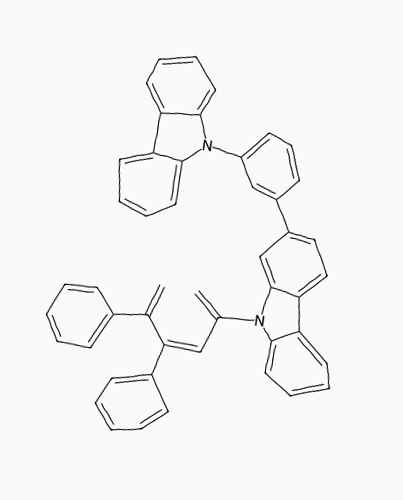 C=C(/C(=C\C(=C)n1c2ccccc2c2ccc(-c3cccc(-n4c5ccccc5c5ccccc54)c3)cc21)c1ccccc1)c1ccccc1